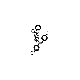 O=S(=O)(C=C1CN(C(Cc2ccc(Cl)cc2)c2ccc(Cl)cc2)C1)c1ccccc1